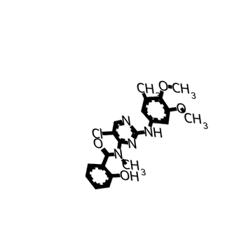 COc1cc(Nc2ncc(Cl)c(N(C)C(=O)c3ccccc3O)n2)cc(C)c1OC